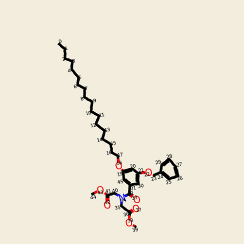 CCCCCCCCCCCCCCCCCCOc1cc(OCc2ccccc2)cc(C(=O)N(CC(=O)OC)CC(=O)OC)c1